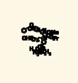 CO[C@@H](C)c1ncc(N2CCN(C(=O)OCc3ccccc3)CC2)cc1-c1c(CC2(COC=O)CC2)c2cc(B3OC(C)(C)C(C)(C)O3)ccc2n1CCOC(C)C